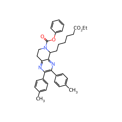 CCOC(=O)CCCCCC1c2nc(-c3ccc(C)cc3)c(-c3ccc(C)cc3)nc2CCN1C(=O)Oc1ccccc1